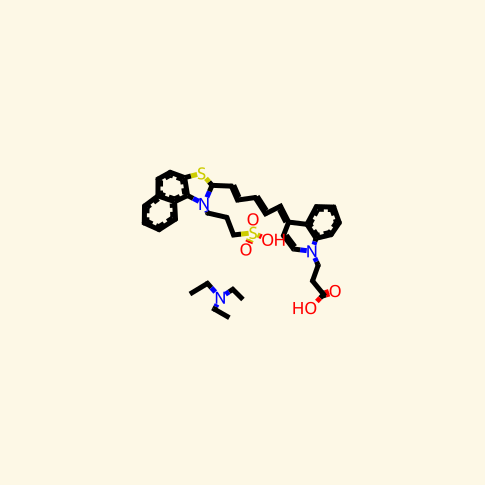 CCN(CC)CC.O=C(O)CCN1C=CC(=CC=CC=CC2Sc3ccc4ccccc4c3N2CCCS(=O)(=O)O)c2ccccc21